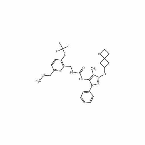 COCc1ccc(OC(F)(F)F)c(CNC(=O)Nc2c(C)c(OC3CC4(CCN4)C3)nn2-c2ccccc2)c1